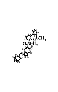 CC(C)n1cnnc1-c1cccc(NC(=O)c2cc3c(ccn3Cc3ccncc3)cc2F)n1